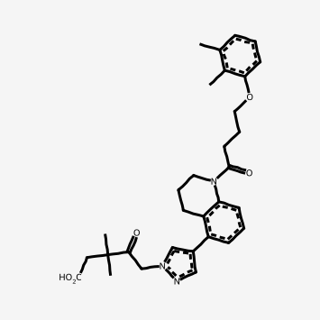 Cc1cccc(OCCCC(=O)N2CCCc3c(-c4cnn(CC(=O)C(C)(C)CC(=O)O)c4)cccc32)c1C